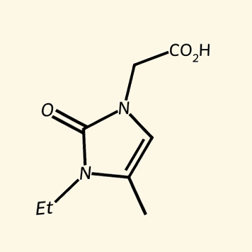 CCn1c(C)cn(CC(=O)O)c1=O